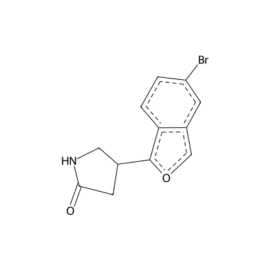 O=C1CC(c2occ3cc(Br)ccc23)CN1